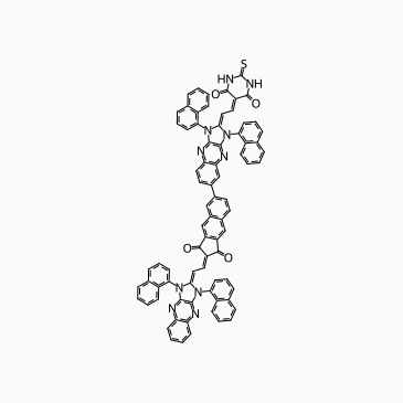 O=C1NC(=S)NC(=O)C1=C/C=C1/N(c2cccc3ccccc23)c2nc3ccc(-c4ccc5cc6c(cc5c4)C(=O)/C(=C\C=C4N(c5cccc7ccccc57)c5nc7ccccc7nc5N4c4cccc5ccccc45)C6=O)cc3nc2N1c1cccc2ccccc12